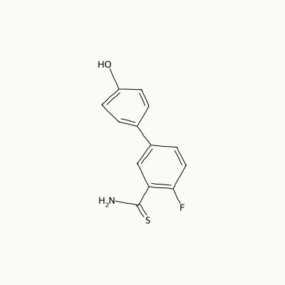 NC(=S)c1cc(-c2ccc(O)cc2)ccc1F